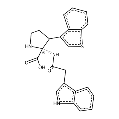 O=C(Cc1c[nH]c2ccccc12)N[C@]1(C(=O)O)NCCC1c1csc2ccccc12